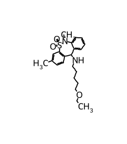 CCOCCCCCNC1c2ccccc2N(C)S(=O)(=O)c2cc(C)ccc21